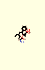 CCC(CC)CC(c1ccccc1)C1(OC(=O)CN)CC1C(=O)O